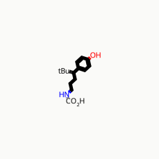 CC(C)(C)C(CCCNC(=O)O)c1ccc(O)cc1